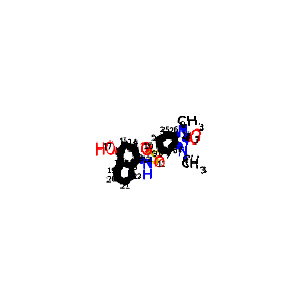 Cn1c(=O)n(C)c2cc(S(=O)(=O)Nc3ccc(O)c4ccccc34)ccc21